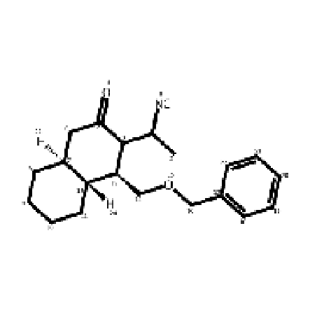 [C-]#[N+]C(C)C1C(=O)C[C@@H]2CCCC[C@H]2[C@@H]1COCc1ccccc1